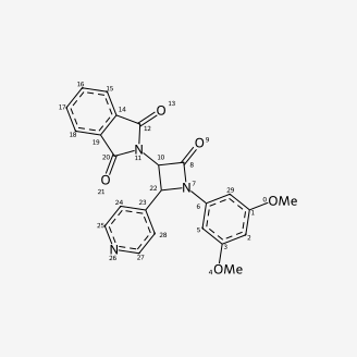 COc1cc(OC)cc(N2C(=O)C(N3C(=O)c4ccccc4C3=O)C2c2ccncc2)c1